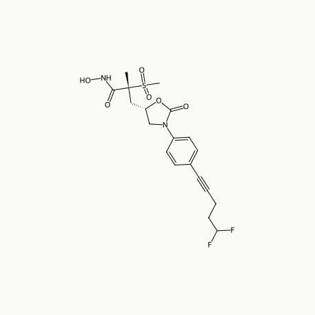 C[C@@](C[C@H]1CN(c2ccc(C#CCCC(F)F)cc2)C(=O)O1)(C(=O)NO)S(C)(=O)=O